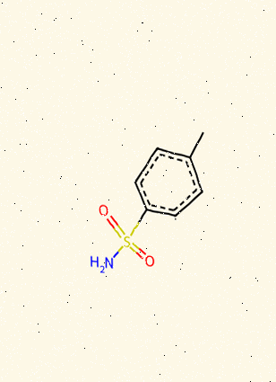 Cc1c[c]c(S(N)(=O)=O)cc1